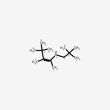 C/C(NCC(C)(C)C)=C(\C)C(C)(C)C